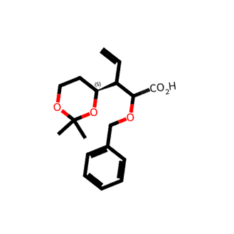 C=CC(C(OCc1ccccc1)C(=O)O)[C@@H]1CCOC(C)(C)O1